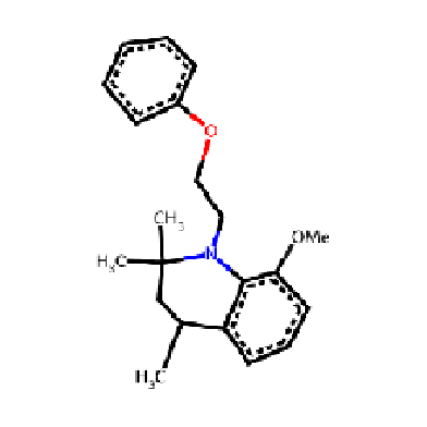 COc1cccc2c1N(CCOc1ccccc1)C(C)(C)CC2C